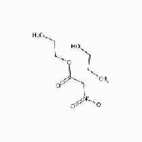 CCCO.CCCOC(=O)C[N+](=O)[O-]